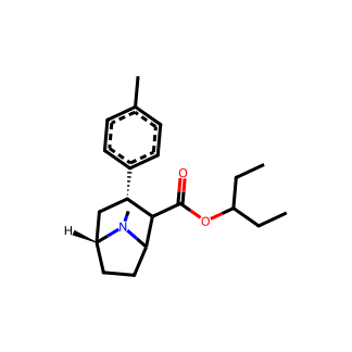 CCC(CC)OC(=O)C1C2CC[C@H](C[C@@H]1c1ccc(C)cc1)N2C